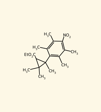 CCOC(=O)C1C(C)(C)C1(C)c1c(C)c(C)c([N+](=O)[O-])c(C)c1C